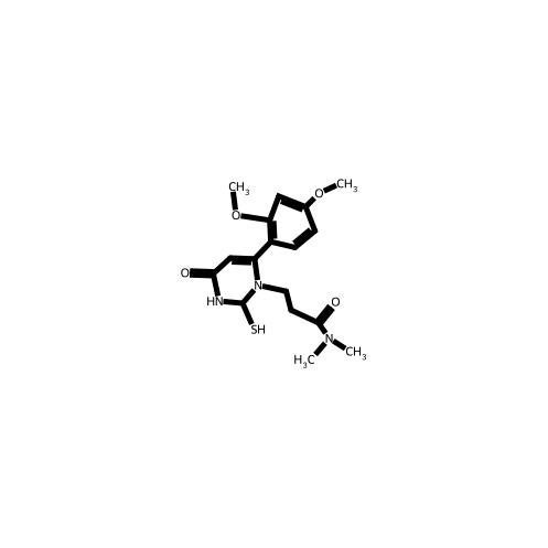 COc1ccc(C2=CC(=O)NC(S)N2CCC(=O)N(C)C)c(OC)c1